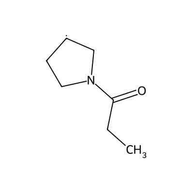 CCC(=O)N1C[CH]CC1